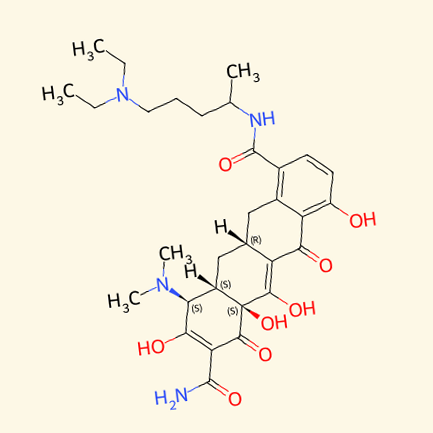 CCN(CC)CCCC(C)NC(=O)c1ccc(O)c2c1C[C@H]1C[C@H]3[C@H](N(C)C)C(O)=C(C(N)=O)C(=O)[C@@]3(O)C(O)=C1C2=O